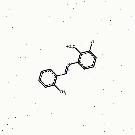 Cc1ccccc1/C=N/c1cccc(Cl)c1C(=O)O